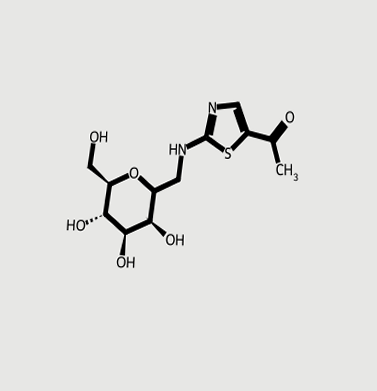 CC(=O)c1cnc(NCC2O[C@H](CO)[C@@H](O)[C@H](O)[C@@H]2O)s1